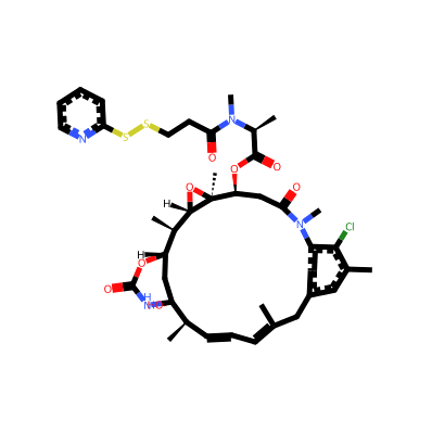 C/C1=C\C=C\[C@@H](C)[C@@]2(O)C[C@H](OC(=O)N2)[C@@H](C)[C@@H]2O[C@@]2(C)[C@@H](OC(=O)[C@H](C)N(C)C(=O)CCSSc2ccccn2)CC(=O)N(C)c2cc(cc(C)c2Cl)C1